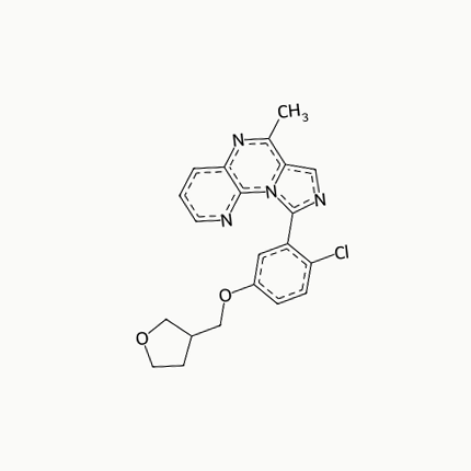 Cc1nc2cccnc2n2c(-c3cc(OCC4CCOC4)ccc3Cl)ncc12